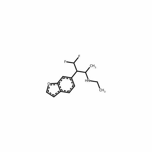 CCNC(C)C(c1ccc2ccoc2c1)C(F)F